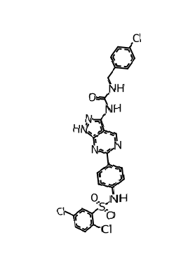 O=C(NCc1ccc(Cl)cc1)Nc1n[nH]c2nc(-c3ccc(NS(=O)(=O)c4cc(Cl)ccc4Cl)cc3)ncc12